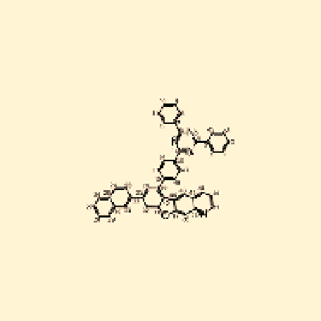 c1ccc(-c2nc(-c3ccccc3)nc(-c3ccc(-c4cc(-c5ccc6ccccc6c5)cc5oc6cc7ncccc7cc6c45)cc3)n2)cc1